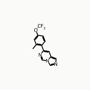 Cc1cc(OC(F)(F)F)ccc1-c1cc2cncn2cn1